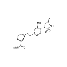 CNC(=O)c1cccc(CCc2ccc(N3CC(=O)NS3(=O)=O)c(O)c2)c1